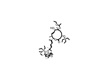 CCOC(C)O[C@]1(C)CC[C@@H](O[Si](CC)(CC)CC)CC(=O)O[C@H](/C(C)=C/C=C/[C@@](C)(C[C@@H]2O[C@H]2[C@H](C)[C@H](CC)O[Si](CC)(CC)CC)O[Si](CC)(CC)CC)[C@@H](C)/C=C/[C@@H]1O